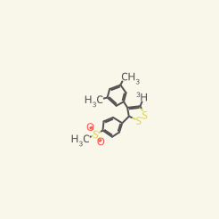 [3H]C1=C(c2cc(C)cc(C)c2)C(c2ccc(S(C)(=O)=O)cc2)SS1